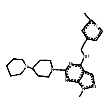 Cc1cccc(CNc2nc(N3CCC(N4CCCCC4)CC3)nc3c2cnn3C)c1